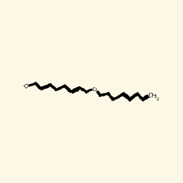 C=CCCCCCCOCC=CCCC=CC[O]